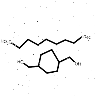 CCCCCCCCCCCCCCCCCC(=O)O.OCC1CCC(CO)CC1